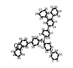 c1ccc(-c2ccc(N(c3ccc(-c4ccc(-c5ccccc5)c(-c5ccccc5)c4)cc3)c3ccc(-c4ccc5oc6ccccc6c5c4)cc3)cc2)cc1